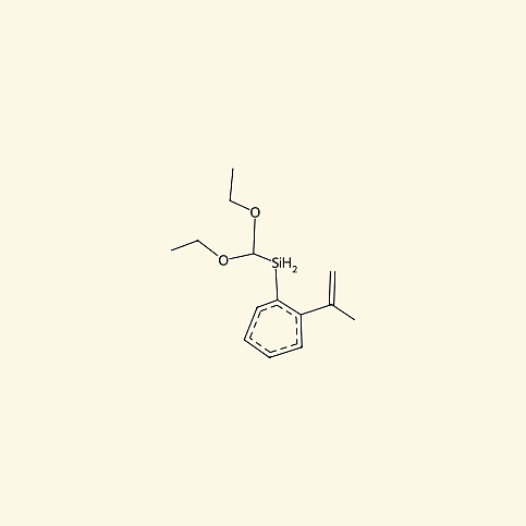 C=C(C)c1ccccc1[SiH2]C(OCC)OCC